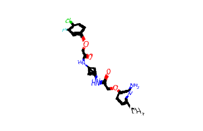 Cc1ccc(OCC(=O)NC23CC(NC(=O)COc4ccc(Cl)c(F)c4)(C2)C3)c(N)n1